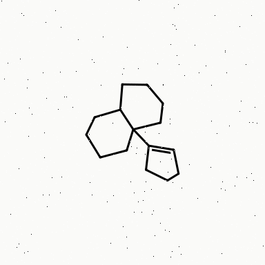 C1=C(C23CCCCC2CCCC3)CCC1